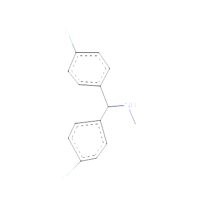 CNC(c1ccc(F)cc1)c1ccc(F)cc1